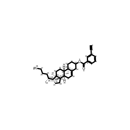 C#Cc1cccc(C(=O)OC2CC[C@@]3(C)C(=CC[C@H]4[C@@H]5CC[C@H]([C@H](C)CCCC(C)C)[C@@]5(C)CC[C@@H]43)C2)c1